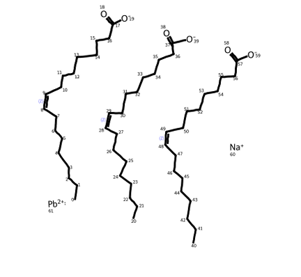 CCCCCCCC/C=C\CCCCCCCC(=O)[O-].CCCCCCCC/C=C\CCCCCCCC(=O)[O-].CCCCCCCC/C=C\CCCCCCCC(=O)[O-].[Na+].[Pb+2]